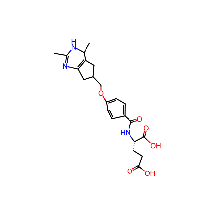 CC1=NC2=C(CC(COc3ccc(C(=O)N[C@@H](CCC(=O)O)C(=O)O)cc3)C2)C(C)N1